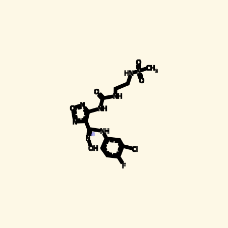 CS(=O)(=O)NCCNC(=O)Nc1nonc1/C(=N/O)Nc1ccc(F)c(Cl)c1